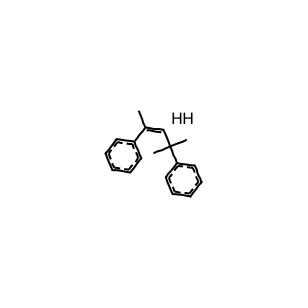 CC(=CC(C)(C)c1ccccc1)c1ccccc1.[HH]